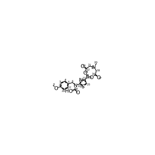 COc1ccc(CN(C(=O)O)c2nc(B3OC(=O)CN(C)CC(=O)O3)cs2)cc1